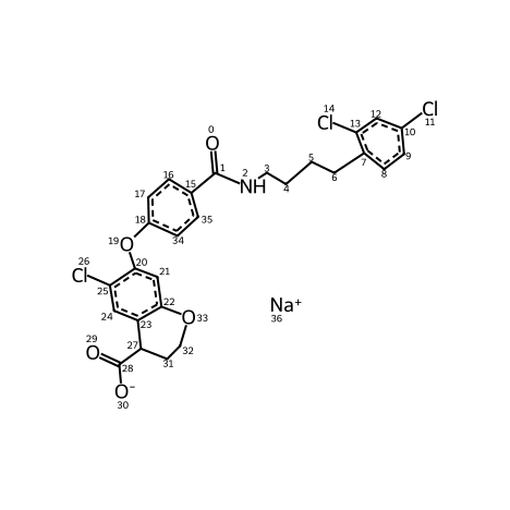 O=C(NCCCCc1ccc(Cl)cc1Cl)c1ccc(Oc2cc3c(cc2Cl)C(C(=O)[O-])CCO3)cc1.[Na+]